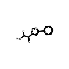 CSC(Cl)C(=O)c1cc(-c2ccccc2)on1